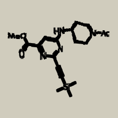 COC(=O)c1cc(NC2CCN(C(C)=O)CC2)nc(C#C[Si](C)(C)C)n1